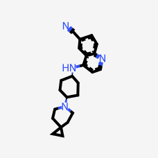 N#Cc1ccc2nccc(N[C@H]3CC[C@H](N4CCC5(CC4)CC5)CC3)c2c1